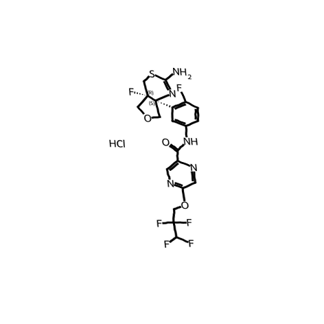 Cl.NC1=N[C@@]2(c3cc(NC(=O)c4cnc(OCC(F)(F)C(F)F)cn4)ccc3F)COC[C@@]2(F)CS1